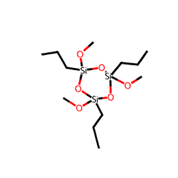 CCC[Si]1(OC)O[Si](CCC)(OC)O[Si](CCC)(OC)O1